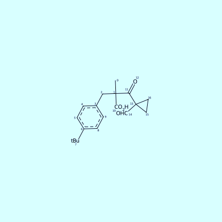 CC(Cc1ccc(C(C)(C)C)cc1)(C(=O)O)C(=O)C1(C=O)CC1